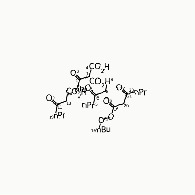 CCCC(=O)CC(=O)O.CCCC(=O)CC(=O)O.CCCC(=O)CC(=O)O.CCCCOOC(=O)CC(=O)CCC